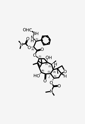 CC1=C2[C@@H](O)C(=O)[C@]3(C)[C@@H](OC(=O)N(C)C)C[C@H]4OC[C@@]4(C)[C@H]3[C@H](C)[C@](O)(C[C@@H]1OC(=O)[C@H](OC(=O)N(C)C)[C@@H](NBC=O)c1ccccc1)C2(C)C